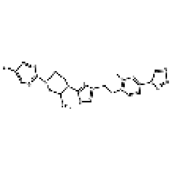 CC1CN(c2ncc(Cl)cn2)CCC1c1nc(COc2ccc(-n3cnnn3)cc2F)cs1